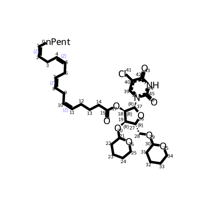 CCCCC/C=C\C/C=C\C/C=C\C/C=C\CCCC(=O)O[C@@H]1[C@H](OC2CCCCO2)[C@@H](COC2CCCCO2)O[C@H]1n1cc(Cl)c(=O)[nH]c1=O